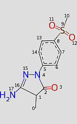 CC1C(=O)N(c2ccc(S(C)(=O)=O)cc2)N=C1N